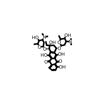 CC[C@@]1(O)C[C@H](OC2CC(N(C)C)C(O)C(C)O2)c2c(O)c3c(c(O)c2[C@H]1OC1CC(N(C)C)C(O)C(C)O1)C(=O)c1cccc(O)c1C3=O